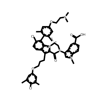 Cc1cc(OCCCc2c3n(c4c(-c5c(C)cc(OCCN(C)C)cc5C)c(Cl)ccc24)[C@H](C)CN(c2cn(C)c4ccc(C(=O)O)cc24)C3=O)cc(C)c1Cl